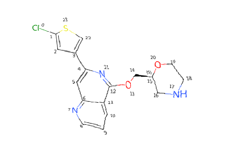 Clc1cc(-c2cc3ncccc3c(OC[C@@H]3CNCCO3)n2)cs1